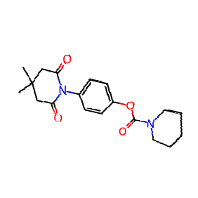 CC1(C)CC(=O)N(c2ccc(OC(=O)N3CCCCC3)cc2)C(=O)C1